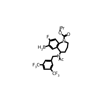 Bc1cc2c(cc1F)N(C(=O)OC(C)C)CCCC2N(Cc1cc(C(F)(F)F)cc(C(F)(F)F)c1)C(C)=O